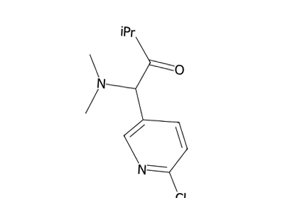 CC(C)C(=O)C(c1ccc(Cl)nc1)N(C)C